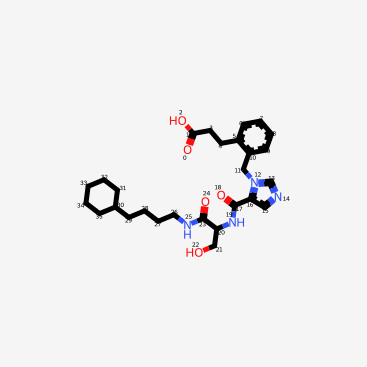 O=C(O)CCc1ccccc1Cn1cncc1C(=O)NC(CO)C(=O)NCCCCC1CCCCC1